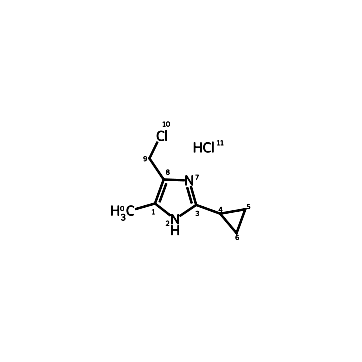 Cc1[nH]c(C2CC2)nc1CCl.Cl